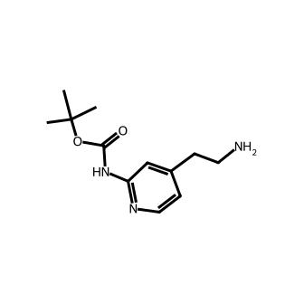 CC(C)(C)OC(=O)Nc1cc(CCN)ccn1